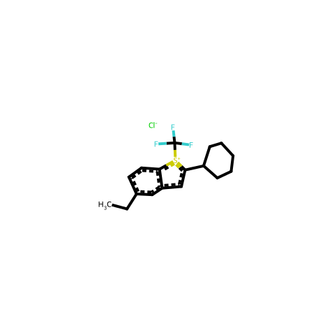 CCc1ccc2c(c1)cc(C1CCCCC1)[s+]2C(F)(F)F.[Cl-]